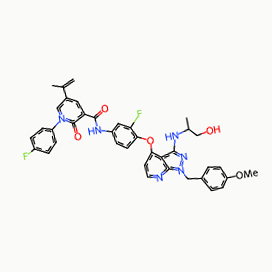 C=C(C)c1cc(C(=O)Nc2ccc(Oc3ccnc4c3c(NC(C)CO)nn4Cc3ccc(OC)cc3)c(F)c2)c(=O)n(-c2ccc(F)cc2)c1